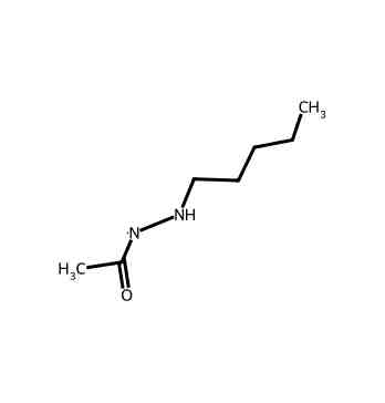 CCCCCN[N]C(C)=O